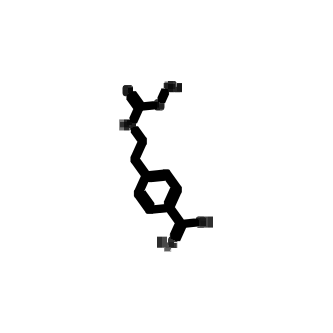 C=C(O)c1ccc(CCNC(=O)OC(C)(C)C)cc1